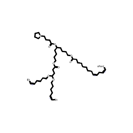 CC/C=C\CCCCOC(CCC(=O)OCCCCC(CCCCOC(=O)CCCCCCC/C=C\C/C=C\CCCCC)OC(=O)CCCN1CCCC1)OCCCC/C=C\CC